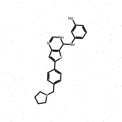 Oc1cccc(NC2NC=Nc3cc(-c4ccc(CN5CCCC5)cc4)sc32)c1